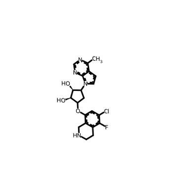 Cc1ncnc2c1ccn2C1CC(Oc2cc(Cl)c(F)c3c2CNCC3)[C@@H](O)[C@H]1O